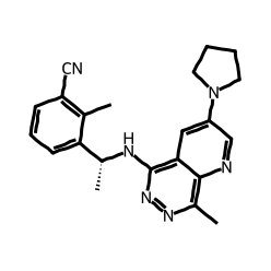 Cc1c(C#N)cccc1[C@@H](C)Nc1nnc(C)c2ncc(N3CCCC3)cc12